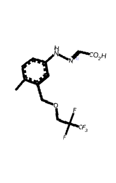 Cc1ccc(N/N=C/C(=O)O)cc1COCC(F)(F)C(F)(F)F